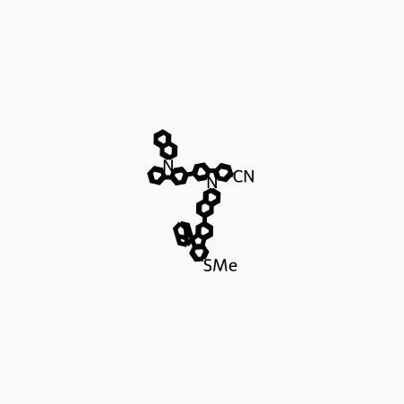 CSc1ccc2c(c1)-c1ccc(-c3ccc4cc(-n5c6cc(C#N)ccc6c6ccc(-c7ccc8c9ccccc9n(-c9ccc%10ccccc%10c9)c8c7)cc65)ccc4c3)cc1C21C2CC3CC(C2)CC1C3